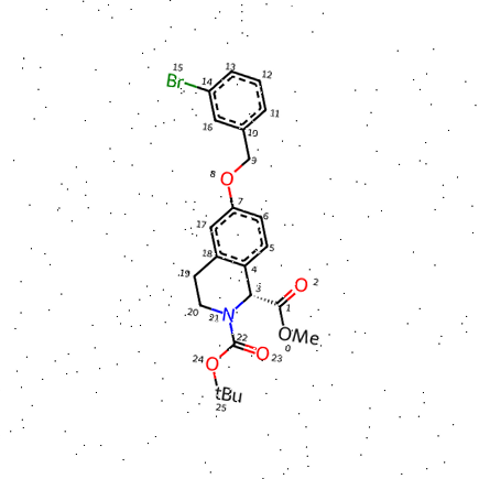 COC(=O)[C@H]1c2ccc(OCc3cccc(Br)c3)cc2CCN1C(=O)OC(C)(C)C